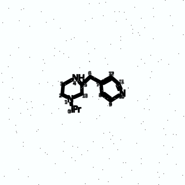 CC(C)N1CCNC(Cc2ccncc2)C1